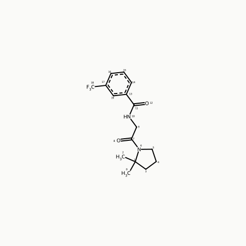 CC1(C)CCCN1C(=O)CNC(=O)c1cccc(C(F)(F)F)c1